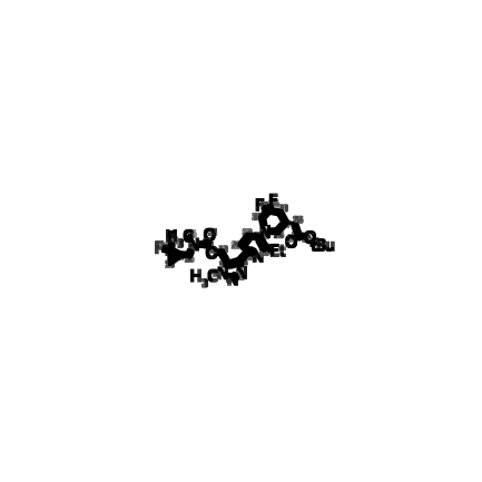 CCc1nc(-c2nnn(C)c2COC(=O)N(C)CC2CC2(F)F)ccc1N1C[C@@H](CC(=O)OC(C)(C)C)CC(F)(F)C1